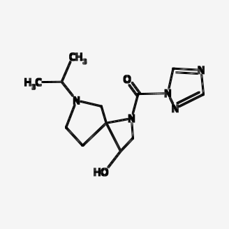 CC(C)N1CCC2(C1)C(O)CN2C(=O)n1cncn1